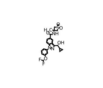 CC1(NC(=O)c2ccc3c(c2)c([C@H](O)C2CC2)nn3-c2cccc(OC(F)F)c2)CS(=O)(=O)C1